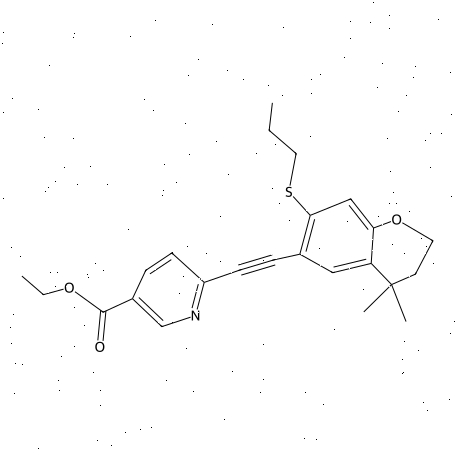 CCCSc1cc2c(cc1C#Cc1ccc(C(=O)OCC)cn1)C(C)(C)CCO2